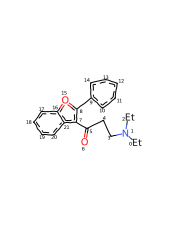 CCN(CC)CCC(=O)c1c(-c2ccccc2)oc2ccccc12